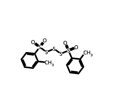 Cc1ccccc1S(=O)(=O)SSSS(=O)(=O)c1ccccc1C